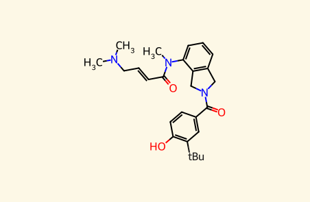 CN(C)C/C=C/C(=O)N(C)c1cccc2c1CN(C(=O)c1ccc(O)c(C(C)(C)C)c1)C2